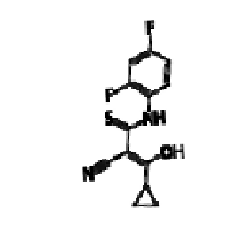 N#CC(C(=S)Nc1ccc(F)cc1F)=C(O)C1CC1